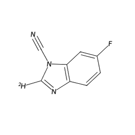 [2H]c1nc2ccc(F)cc2n1C#N